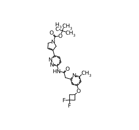 Cc1cc(OC2CC(F)(F)C2)cc(CC(=O)Nc2ccc(C3=CCN(C(=O)OC(C)(C)C)C3)nn2)n1